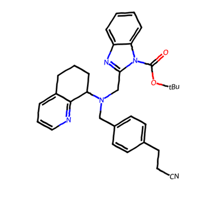 CC(C)(C)OC(=O)n1c(CN(Cc2ccc(CCC#N)cc2)C2CCCc3cccnc32)nc2ccccc21